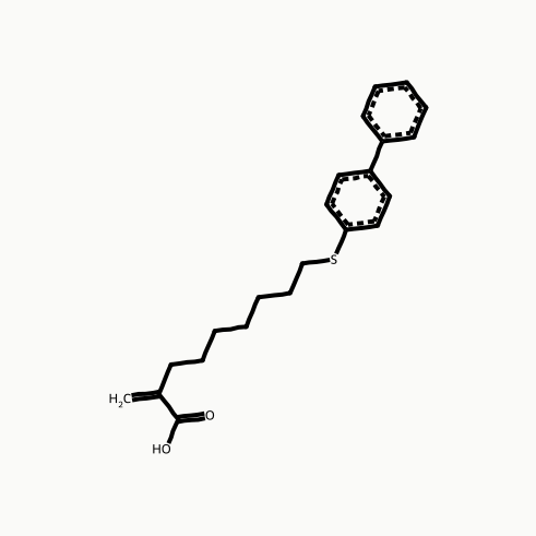 C=C(CCCCCCCSc1ccc(-c2ccccc2)cc1)C(=O)O